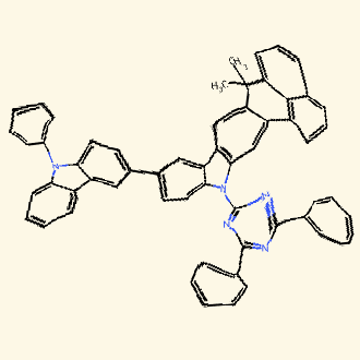 CC1(C)c2cc3c4cc(-c5ccc6c(c5)c5ccccc5n6-c5ccccc5)ccc4n(-c4nc(-c5ccccc5)nc(-c5ccccc5)n4)c3cc2-c2cccc3cccc1c23